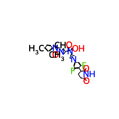 Cc1ccc(N(C)C(=O)N2CC(N(C(=O)O)C3CN(c4cc(F)c(C5CCC(=O)NC5=O)c(F)c4)C3)C2)c(C)c1